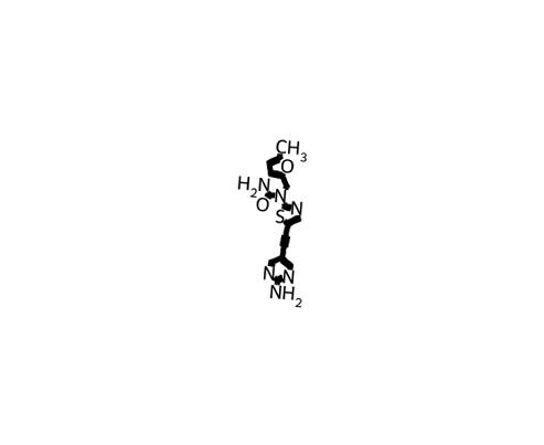 Cc1ccc(CN(C(N)=O)c2ncc(C#Cc3cnc(N)nc3)s2)o1